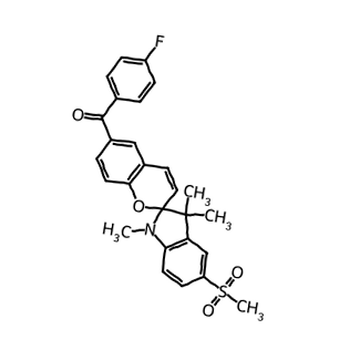 CN1c2ccc(S(C)(=O)=O)cc2C(C)(C)C12C=Cc1cc(C(=O)c3ccc(F)cc3)ccc1O2